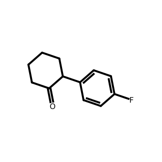 O=C1CCCCC1c1ccc(F)cc1